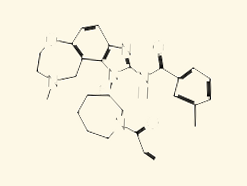 C=CC(=O)N1CCCC[C@@H](n2c(NC(=O)c3cccc(C)c3)nc3ccc4c(c32)CN(C)CCO4)C1